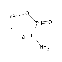 CCCO[PH](=O)ON.[Zr]